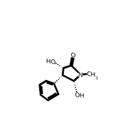 CN1C(=O)[C@@H](O)[C@@H](c2ccccc2)[C@H]1O